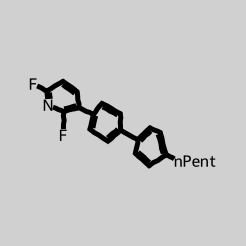 CCCCCc1ccc(-c2ccc(-c3ccc(F)nc3F)cc2)cc1